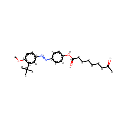 COc1ccc(N=Nc2ccc(OC(=O)CCCCCCC(C)=O)cc2)cc1C(C)(C)C